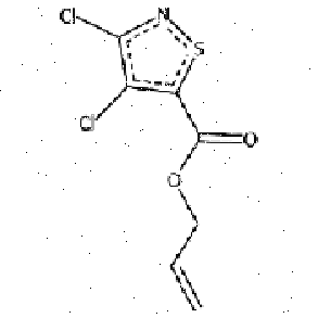 C=CCOC(=O)c1snc(Cl)c1Cl